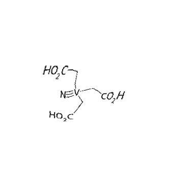 [N]#[V]([CH2]C(=O)O)([CH2]C(=O)O)[CH2]C(=O)O